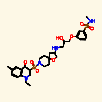 CCn1cc(S(=O)(=O)N2CCC3(CC2)C[C@@H](NCC(O)COc2cccc(S(=O)(=O)NC)c2)CO3)c(=O)c2cc(C)ccc21